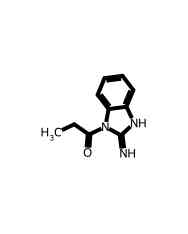 CCC(=O)n1c(=N)[nH]c2ccccc21